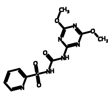 COc1nc(NC(=O)NS(=O)(=O)c2ccccn2)nc(OC)n1